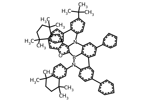 CC(C)(C)c1ccc(N2c3cc(-c4ccccc4)cc4c3B(c3oc5cc6c(cc5c32)C(C)(C)CCC6(C)C)N(c2ccc3c(c2)C(C)(C)CCC3(C)C)c2ccc(-c3ccccc3)cc2-4)c(-c2ccccc2)c1